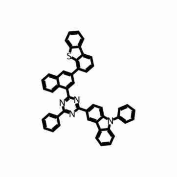 c1ccc(-c2nc(-c3ccc4c(c3)c3ccccc3n4-c3ccccc3)nc(-c3cc(-c4cccc5c4sc4ccccc45)cc4ccccc34)n2)cc1